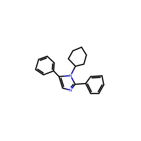 [c]1ccc(-c2ncc(-c3ccccc3)n2C2CCCCC2)cc1